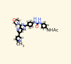 CC(=O)Nc1ccc(NC(=O)Nc2ccc(-c3nc(N4CCOCC4)c4ncc(-c5ccc(C)nc5)cc4n3)cc2)cc1